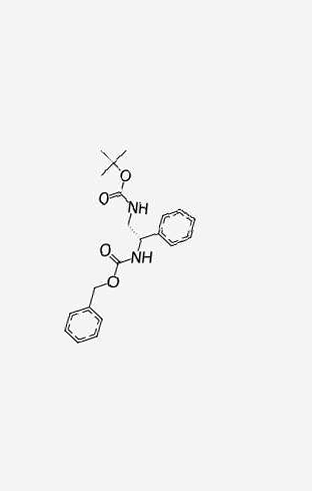 CC(C)(C)OC(=O)NC[C@@H](NC(=O)OCc1ccccc1)c1ccccc1